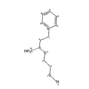 CCOCCOC(CCc1ccccc1)C(=O)OCC